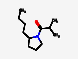 CCCCC1CCCN1C(=O)C(C)C